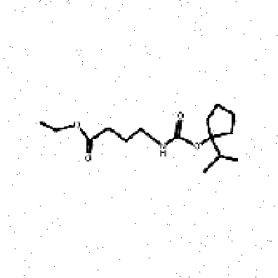 CCOC(=O)CCCNC(=O)OC1(C(C)C)CCCC1